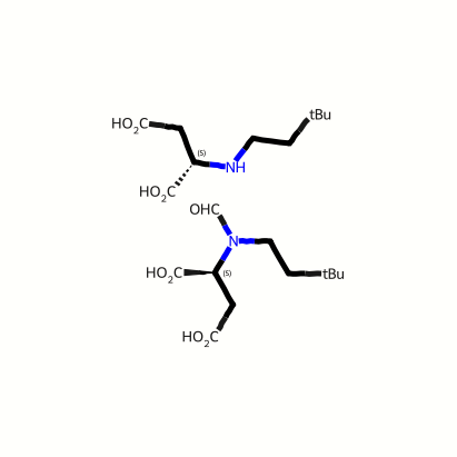 CC(C)(C)CCN(C=O)[C@@H](CC(=O)O)C(=O)O.CC(C)(C)CCN[C@@H](CC(=O)O)C(=O)O